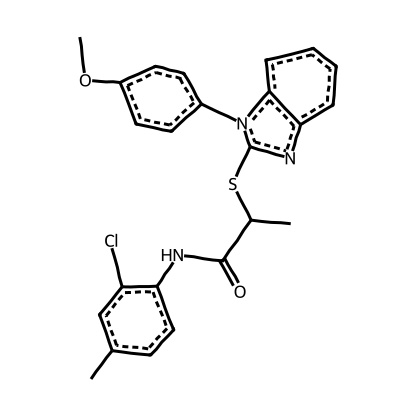 COc1ccc(-n2c(SC(C)C(=O)Nc3ccc(C)cc3Cl)nc3ccccc32)cc1